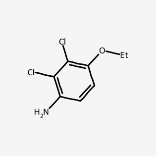 CCOc1ccc(N)c(Cl)c1Cl